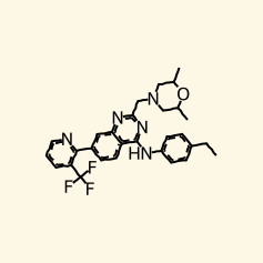 CCc1ccc(Nc2nc(CN3CC(C)OC(C)C3)nc3cc(-c4ncccc4C(F)(F)F)ccc23)cc1